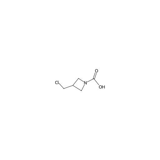 O=C(O)N1CC(CCl)C1